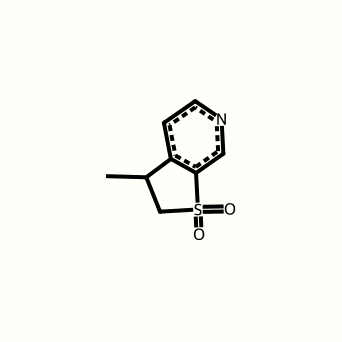 CC1CS(=O)(=O)c2cnccc21